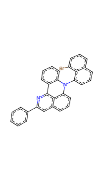 Brc1cccc2cccc(N3c4ccccc4-c4nc(-c5ccccc5)cc5cccc3c45)c12